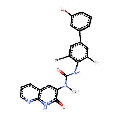 CCCCN(C(=O)Nc1c(C(C)C)cc(-c2cccc(Br)c2)cc1C(C)C)c1cc2cccnc2[nH]c1=O